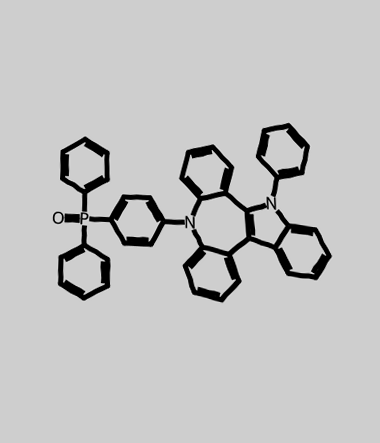 O=P(c1ccccc1)(c1ccccc1)c1ccc(N2c3ccccc3-c3c(n(-c4ccccc4)c4ccccc34)-c3ccccc32)cc1